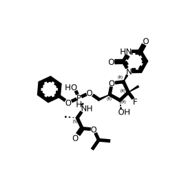 CC(C)OC(=O)[C@H](C)N[PH](O)(OC[C@H]1O[C@@H](n2ccc(=O)[nH]c2=O)[C@](C)(F)[C@@H]1O)Oc1ccccc1